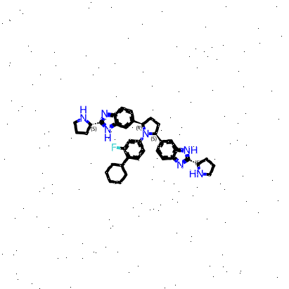 Fc1cc(N2[C@@H](c3ccc4nc([C@@H]5CCCN5)[nH]c4c3)CC[C@H]2c2ccc3nc([C@@H]4CCCN4)[nH]c3c2)ccc1C1CCCCC1